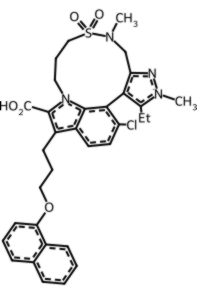 CCc1c2c(nn1C)CN(C)S(=O)(=O)CCCn1c(C(=O)O)c(CCCOc3cccc4ccccc34)c3ccc(Cl)c-2c31